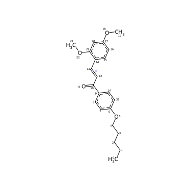 CCCCCOc1ccc(C(=O)/C=C/c2ccc(OC)cc2OC)cc1